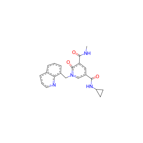 CNC(=O)c1cc(C(=O)NC2CC2)cn(Cc2cccc3cccnc23)c1=O